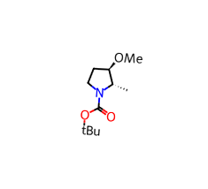 CO[C@@H]1CCN(C(=O)OC(C)(C)C)[C@H]1C